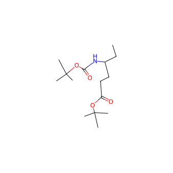 CCC(CCC(=O)OC(C)(C)C)NC(=O)OC(C)(C)C